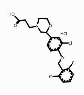 Cl.O=C(O)CCN1CCOC(c2ccc(OCc3c(Cl)cccc3Cl)c(Cl)c2)C1